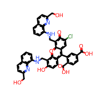 O=C(O)c1ccc(C(=O)O)c(-c2c3cc(Cl)c(=O)c(CNc4cccc5ccc(CO)nc45)c-3oc3c(CNc4cccc5ccc(CO)nc45)c(O)ccc23)c1